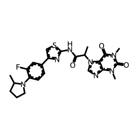 CC1CCCN1c1ccc(-c2csc(NC(=O)C(C)n3cnc4c3c(=O)n(C)c(=O)n4C)n2)cc1F